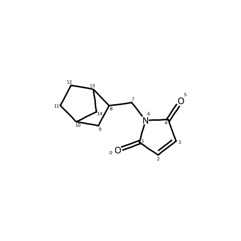 O=C1C=CC(=O)N1CC1CC2CCC1C2